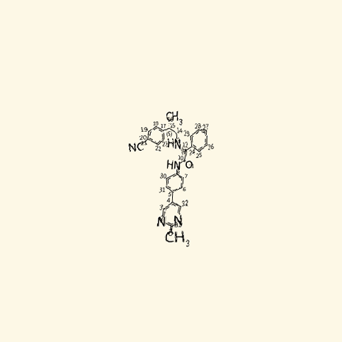 Cc1ncc(-c2ccc(NC(=O)[C@H](NC[C@@H](C)c3ccc(C#N)cc3)c3ccccc3)cc2)cn1